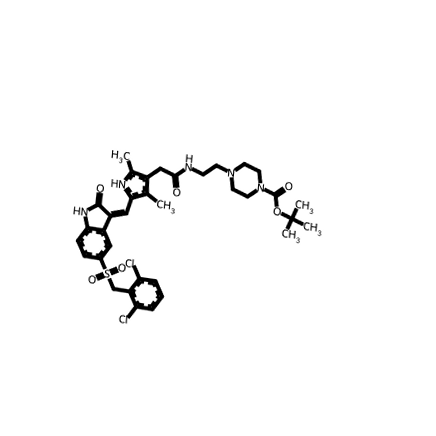 Cc1[nH]c(/C=C2\C(=O)Nc3ccc(S(=O)(=O)Cc4c(Cl)cccc4Cl)cc32)c(C)c1CC(=O)NCCN1CCN(C(=O)OC(C)(C)C)CC1